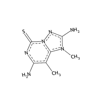 Cc1c(N)nc(=S)n2nc(N)n(C)c12